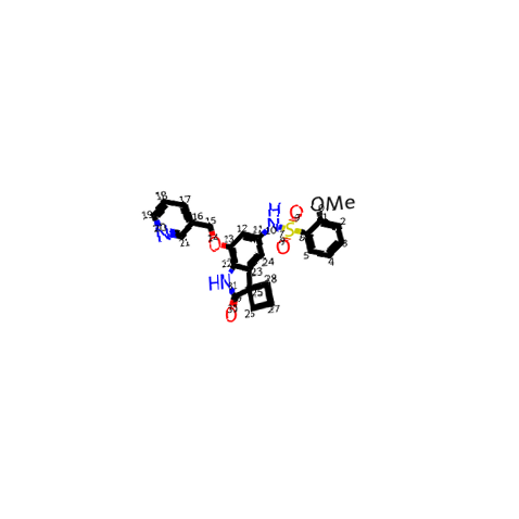 COc1ccccc1S(=O)(=O)Nc1cc(OCc2cccnc2)c2c(c1)C1(CCC1)C(=O)N2